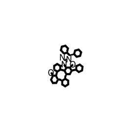 c1ccc(-c2nc(-n3c4ccc5oc6cccc7c8ccccc8c8cc9c%10ccccc%10oc9c3c8c4c5c67)nc3ccccc23)cc1